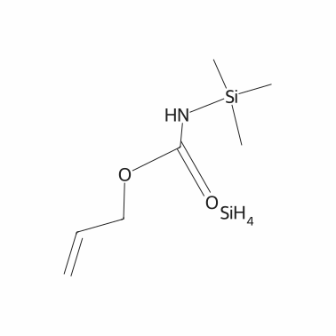 C=CCOC(=O)N[Si](C)(C)C.[SiH4]